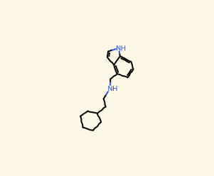 c1cc(CNCCC2CCCCC2)c2cc[nH]c2c1